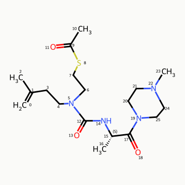 C=C(C)CCN(CCSC(C)=O)C(=O)N[C@@H](C)C(=O)N1CCN(C)CC1